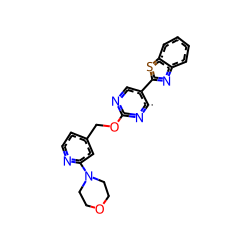 [c]1nc(OCc2ccnc(N3CCOCC3)c2)ncc1-c1nc2ccccc2s1